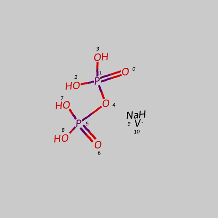 O=P(O)(O)OP(=O)(O)O.[NaH].[V]